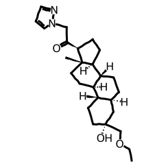 CCOC[C@@]1(O)CC[C@H]2[C@@H](CC[C@@H]3[C@@H]2CC[C@]2(C)[C@@H](C(=O)Cn4cccn4)CC[C@@H]32)C1